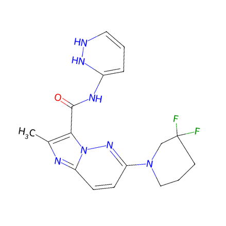 Cc1nc2ccc(N3CCCC(F)(F)C3)nn2c1C(=O)NC1=CC=CNN1